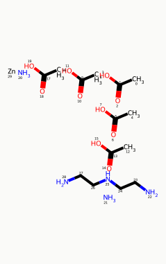 CC(=O)O.CC(=O)O.CC(=O)O.CC(=O)O.CC(=O)O.N.N.NCCNCCN.[Zn]